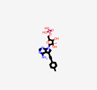 Cc1ccc(C#Cc2cn(C3OC(COP(=O)(O)O)C(O)[C@@]3(C)O)c3ncnc(N)c23)cc1